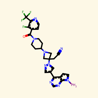 N#CCC1(n2cc(-c3ncnc4c3ccn4P)cn2)CN(C2CCN(C(=O)c3ccnc(C(F)(F)F)c3F)CC2)C1